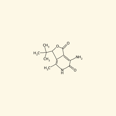 Cc1[nH]c(=O)c(N)c2c1C(C(C)(C)C)OC2=O